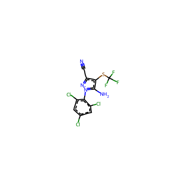 N#Cc1nn(-c2c(Cl)cc(Cl)cc2Cl)c(N)c1SC(F)(F)F